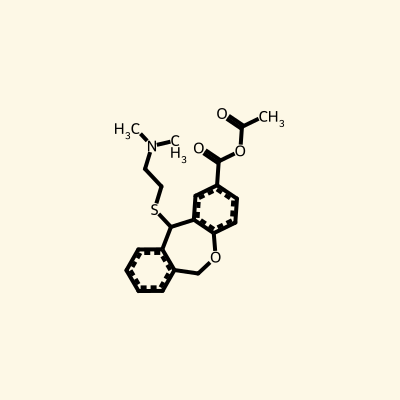 CC(=O)OC(=O)c1ccc2c(c1)C(SCCN(C)C)c1ccccc1CO2